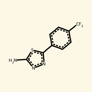 Nc1nnc(-c2ccc(C(F)(F)F)cc2)s1